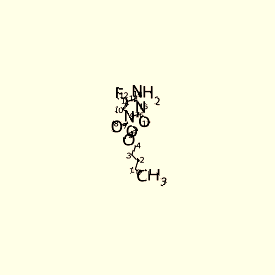 CCCCCOOC(=O)n1cc(F)c(N)nc1=O